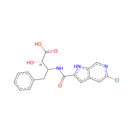 O=C(NC(Cc1ccccc1)[C@H](O)C(=O)O)c1cc2cc(Cl)ncc2[nH]1